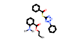 CCN(CC)c1ccccc1C(=O)OCCC(C)C.O=C(Sc1nnn(-c2ccccc2)n1)c1ccccc1